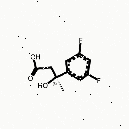 C[C@](O)(CC(=O)O)c1cc(F)cc(F)c1